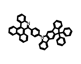 c1ccc(C2(c3ccccc3)c3ccccc3-c3cc4c(cc32)c2ccccc2n4-c2ccc(-c3nc4ccccc4c4c5ccccc5c5ccccc5c34)cc2)cc1